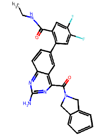 CCNC(=O)c1cc(F)c(F)cc1-c1ccc2nc(N)nc(C(=O)N3Cc4ccccc4C3)c2c1